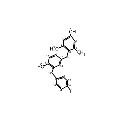 Cc1cc(O)cc(C)c1Cc1ccc(O)c(Cc2ccc(F)cc2)c1